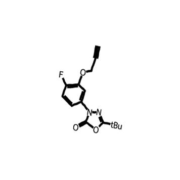 C#CCOc1cc(-n2nc(C(C)(C)C)oc2=O)ccc1F